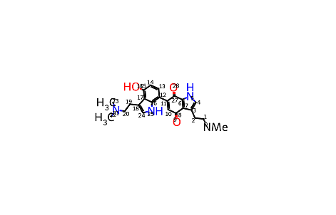 CNCCc1c[nH]c2c1C(=O)C=C(c1ccc(O)c3c(CCN(C)C)c[nH]c13)C2=O